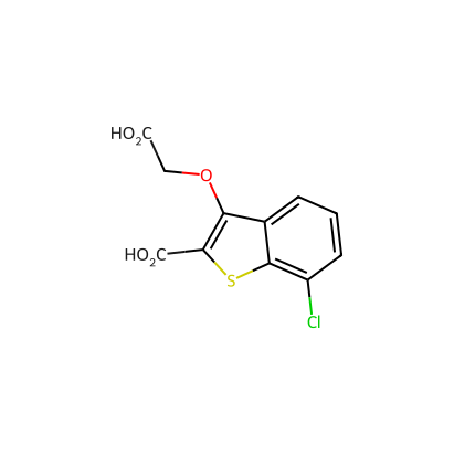 O=C(O)COc1c(C(=O)O)sc2c(Cl)cccc12